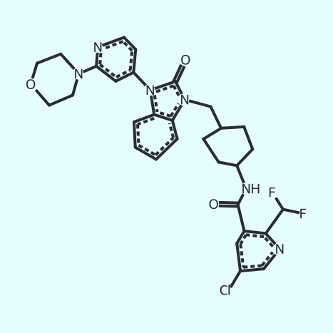 O=C(NC1CCC(Cn2c(=O)n(-c3ccnc(N4CCOCC4)c3)c3ccccc32)CC1)c1cc(Cl)cnc1C(F)F